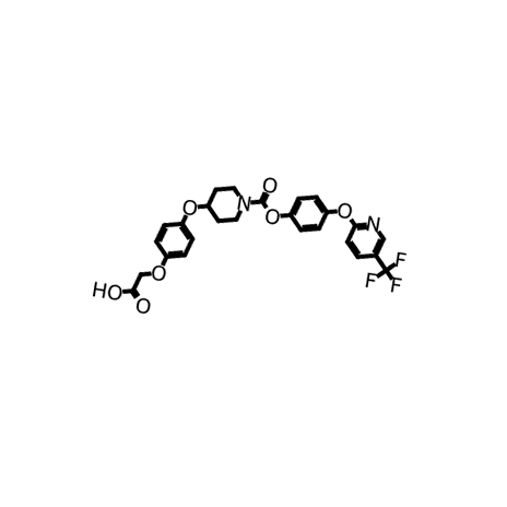 O=C(O)COc1ccc(OC2CCN(C(=O)Oc3ccc(Oc4ccc(C(F)(F)F)cn4)cc3)CC2)cc1